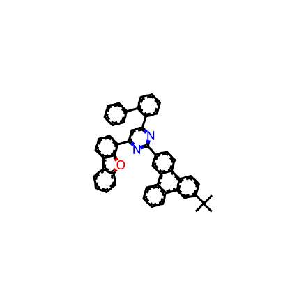 CC(C)(C)c1ccc2c3ccc(-c4nc(-c5ccccc5-c5ccccc5)cc(-c5cccc6c5oc5ccccc56)n4)cc3c3ccccc3c2c1